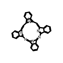 c1ccc2c(c1)-c1cc3[nH]c(cc4nc(nc5[nH]c(nc-2n1)c1ccccc51)-c1ccccc1-4)c1ccccc31